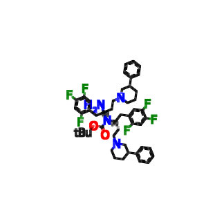 CC(C)(C)OC(=O)N([C@@H](CCN1CCCC(c2ccccc2)C1)Cc1cc(F)c(F)cc1F)[C@@](N)(CCN1CCCC(c2ccccc2)C1)Cc1cc(F)c(F)cc1F